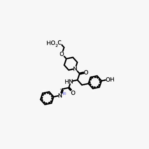 O=C(O)COC1CCN(C(=O)C(Cc2ccc(O)cc2)NC(=O)/[C]=N/c2ccccc2)CC1